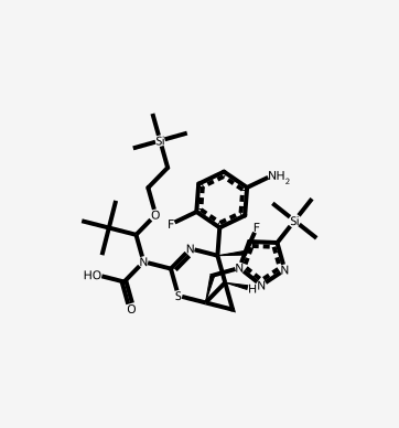 CC(C)(C)C(OCC[Si](C)(C)C)N(C(=O)O)C1=N[C@](CF)(c2cc(N)ccc2F)[C@@H]2C[C@]2(Cn2cc([Si](C)(C)C)nn2)S1